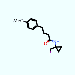 COc1ccc(CCCC(=O)NC2(CI)CC2)cc1